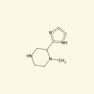 CN1CCNC[C]1c1ncc[nH]1